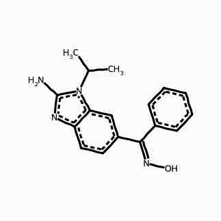 CC(C)n1c(N)nc2ccc(/C(=N/O)c3ccccc3)cc21